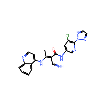 C/C(Nc1ccnc2ccccc12)=C(/C=N)C(=O)Nc1cnc(-n2nccn2)c(Cl)c1